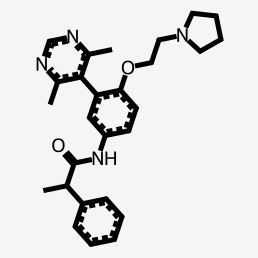 Cc1ncnc(C)c1-c1cc(NC(=O)C(C)c2ccccc2)ccc1OCCN1CCCC1